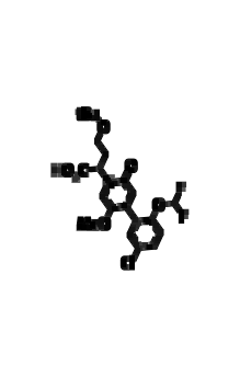 COc1cn(C(CCOC(C)(C)C)C(=O)O)c(=O)cc1-c1cc(Cl)ccc1OC(F)F